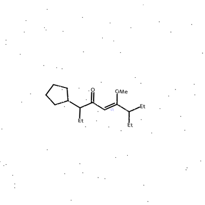 CCC(CC)/C(=C/C(=O)C(CC)C1CCCC1)OC